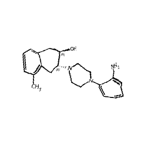 Cc1cccc2c1C[C@@H](N1CCN(c3ccccc3N)CC1)[C@H](O)C2